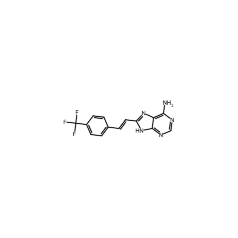 Nc1ncnc2[nH]c(/C=C/c3ccc(C(F)(F)F)cc3)nc12